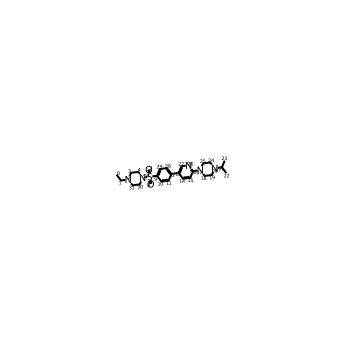 CCN1CCN(S(=O)(=O)c2ccc(-c3ccc(N4CCN(C(C)C)CC4)nc3)cc2)CC1